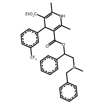 CCOC(=O)C1=C(C)NC(C)=C(C(=O)OC(CN(C)Cc2ccccc2)c2ccccc2)C1c1cccc(C(F)(F)F)c1